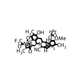 CCCC(=O)Oc1c(OC)c(C)cc2c1[C@H]1C3Cc4c(O)c(C)c5c(c4[C@H](CNC(=O)[C@H](C)NC(=O)C(F)(F)F)N3[C@@H](C#N)[C@H](C2)N1C)OCO5